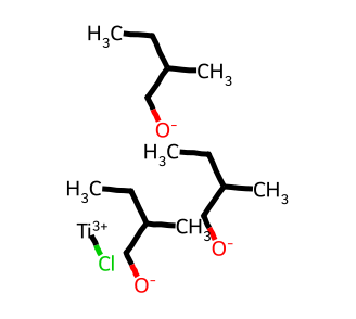 CCC(C)C[O-].CCC(C)C[O-].CCC(C)C[O-].[Cl][Ti+3]